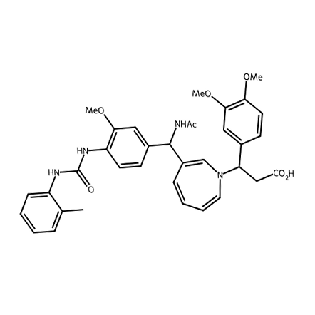 COc1cc(C(NC(C)=O)C2=CN(C(CC(=O)O)c3ccc(OC)c(OC)c3)C=CC=C2)ccc1NC(=O)Nc1ccccc1C